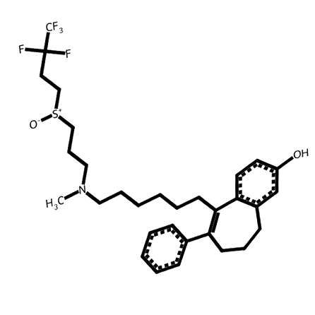 CN(CCCCCCC1=C(c2ccccc2)CCCc2cc(O)ccc21)CCC[S+]([O-])CCC(F)(F)C(F)(F)F